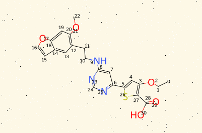 CCOc1cc(-c2cc(NCCc3cc4ccoc4cc3OC)ncn2)sc1C(=O)O